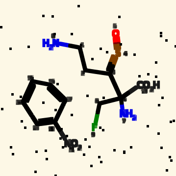 NCCC(=S=O)C(N)(CF)C(=O)O.O=[N+]([O-])c1ccccc1